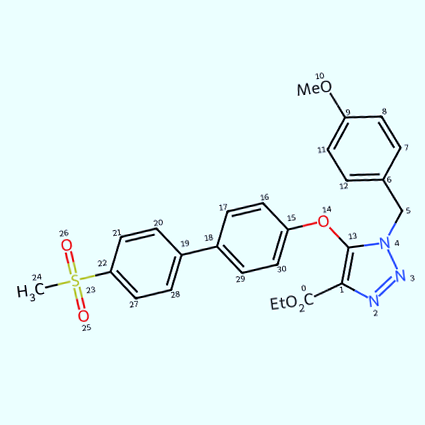 CCOC(=O)c1nnn(Cc2ccc(OC)cc2)c1Oc1ccc(-c2ccc(S(C)(=O)=O)cc2)cc1